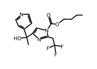 CCCCOC(=O)n1cc(C(C)(O)c2ccncc2)nc1CC(F)(F)F